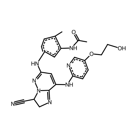 CC(=O)Nc1cc(NC2=NN3C(=NCC3C#N)C(Nc3ccc(OCCO)cn3)=C2)ccc1C